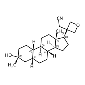 C[C@@]1(O)CC[C@H]2[C@H](CC[C@@H]3[C@@H]2CC[C@]2(C)[C@@H](C4(CC#N)COC4)CC[C@@H]32)C1